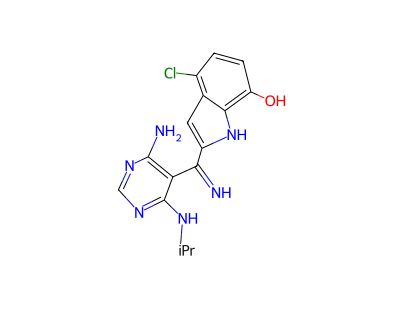 CC(C)Nc1ncnc(N)c1C(=N)c1cc2c(Cl)ccc(O)c2[nH]1